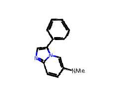 CNc1ccc2ncc(-c3ccccc3)n2c1